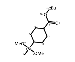 CO[Si](C)(OC)C1CCC(C(=O)OC(C)(C)C)CC1